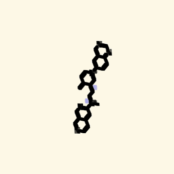 C=c1cc[n+](-c2ccc3ncncc3c2)c/c1=C/C=[N+](\C)c1cc2ccncc2cn1